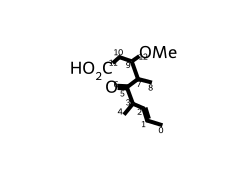 CC=CC(C)C(=O)C(C)C(CC(=O)O)OC